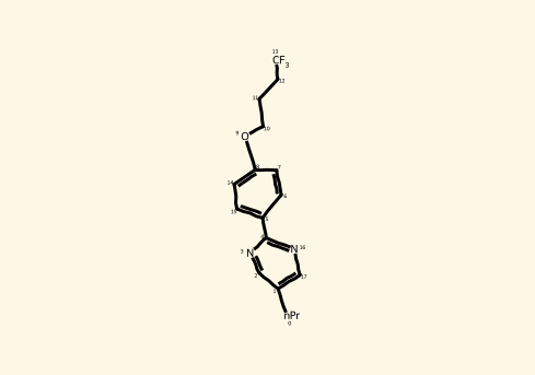 CCCc1cnc(-c2ccc(OCCCC(F)(F)F)cc2)nc1